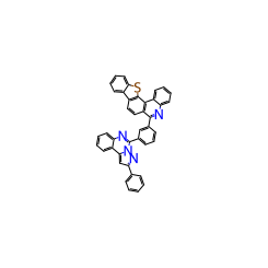 c1ccc(-c2cc3c4ccccc4nc(-c4cccc(-c5nc6ccccc6c6c5ccc5c7ccccc7sc56)c4)n3n2)cc1